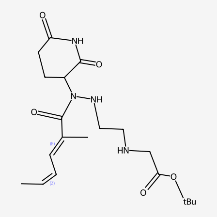 C/C=C\C=C(/C)C(=O)N(NCCNCC(=O)OC(C)(C)C)C1CCC(=O)NC1=O